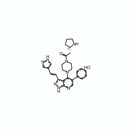 Cl.O=C(C[C@@H]1CCCN1)N1CCN(c2c(-c3ccccc3)cnc3[nH]nc(C=Cc4cn[nH]c4)c23)CC1